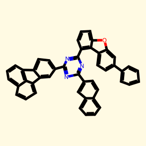 c1ccc(-c2ccc3c(c2)oc2cccc(-c4nc(-c5ccc6c(c5)-c5cccc7cccc-6c57)nc(-c5ccc6ccccc6c5)n4)c23)cc1